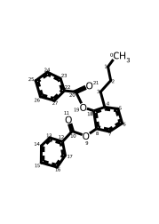 CCCCc1cccc(OC(=O)c2ccccc2)c1OC(=O)c1ccccc1